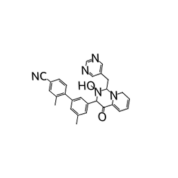 Cc1cc(-c2ccc(C#N)cc2C)cc(C2C(=O)C3=CC=CCN3C(Cc3cncnc3)N2O)c1